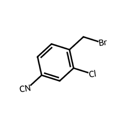 [C-]#[N+]c1ccc(CBr)c(Cl)c1